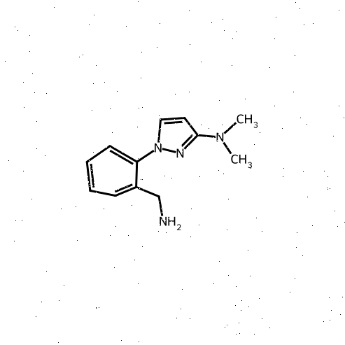 CN(C)c1ccn(-c2ccccc2CN)n1